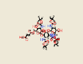 CC(C)(C)OC(=O)NC[C@H]1O[C@H](OC2C(O)[C@@H](O[C@H]3OC(COC(=O)CCC(=O)O)[C@@H](O)C(NC(=O)OC(C)(C)C)C3O)C(NC(=O)OC(C)(C)C)C[C@@H]2NC(=O)OC(C)(C)C)C(NC(=O)OC(C)(C)C)C[C@@H]1O